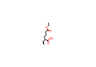 C=CC(CCCC(=O)OCC)C(=O)O